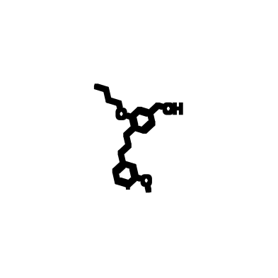 CCCCOc1cc(CO)ccc1CCCc1cc[c]c(OC)c1